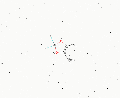 CCCC(C)C1=C(C)OC(F)(F)O1